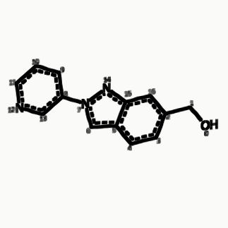 OCc1ccc2cn(-c3cccnc3)nc2c1